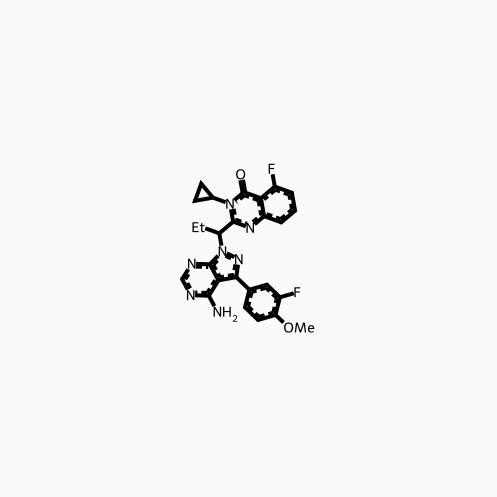 CCC(c1nc2cccc(F)c2c(=O)n1C1CC1)n1nc(-c2ccc(OC)c(F)c2)c2c(N)ncnc21